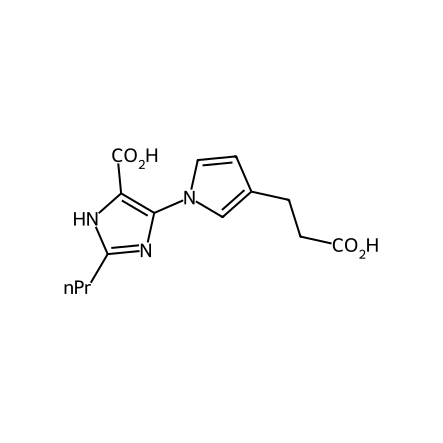 CCCc1nc(-n2ccc(CCC(=O)O)c2)c(C(=O)O)[nH]1